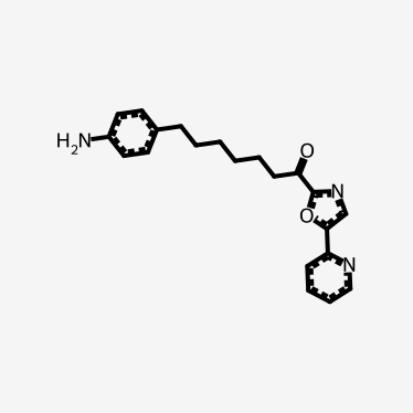 Nc1ccc(CCCCCCC(=O)c2ncc(-c3ccccn3)o2)cc1